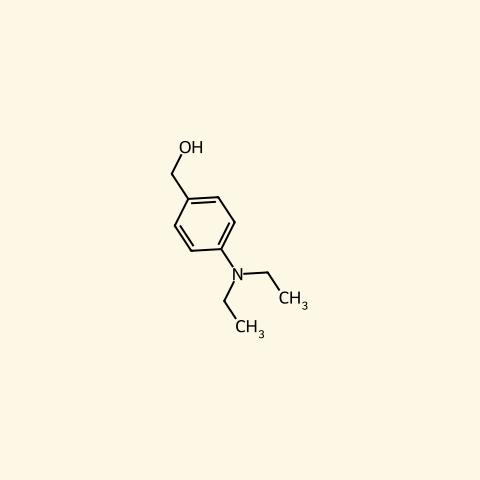 CCN(CC)c1ccc(CO)cc1